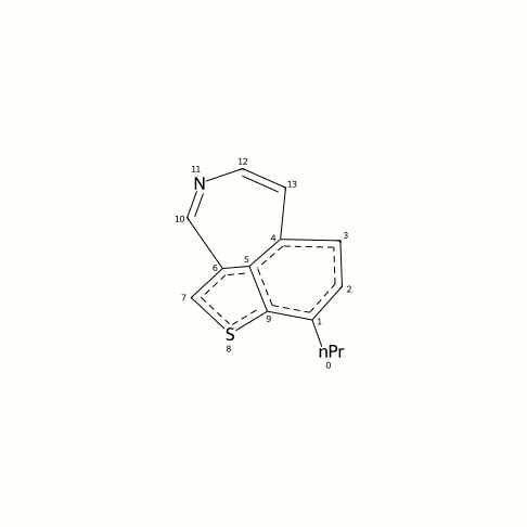 CCCc1ccc2c3c(csc13)C=NC=C2